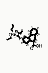 CCC[Si](OCC)(OCC)OCC.O=C(O)c1cc2ccccc2c2ccccc12